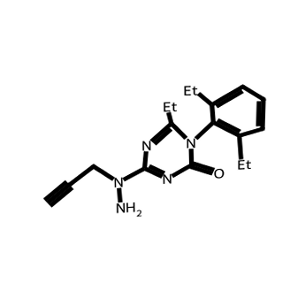 C#CCN(N)c1nc(CC)n(-c2c(CC)cccc2CC)c(=O)n1